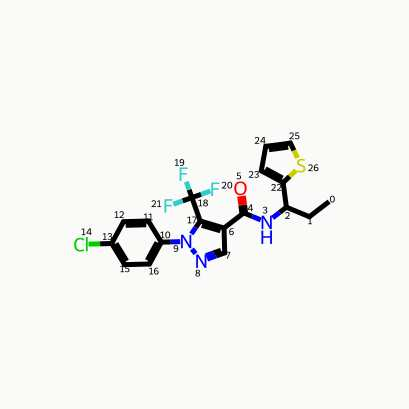 CCC(NC(=O)c1cnn(-c2ccc(Cl)cc2)c1C(F)(F)F)c1cccs1